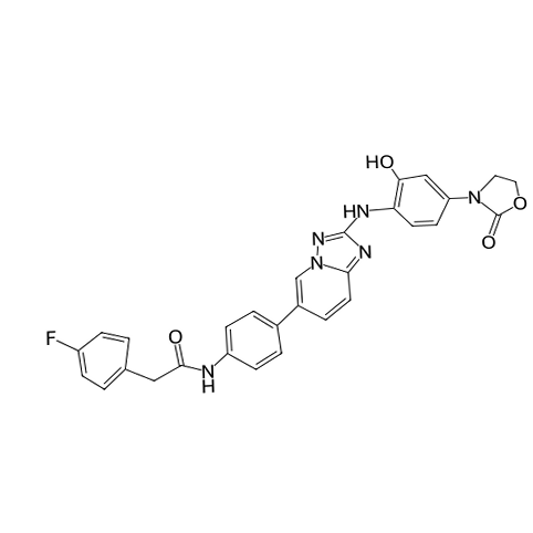 O=C(Cc1ccc(F)cc1)Nc1ccc(-c2ccc3nc(Nc4ccc(N5CCOC5=O)cc4O)nn3c2)cc1